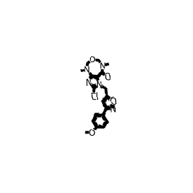 COc1ccc(-c2cc(Cn3c(Cl)nc4c3C(=O)N(C)COCN4C)on2)cc1